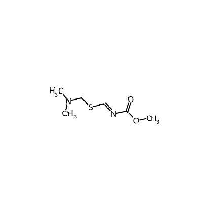 COC(=O)N=CSCN(C)C